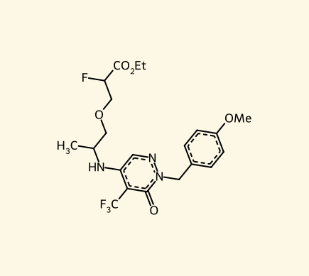 CCOC(=O)C(F)COCC(C)Nc1cnn(Cc2ccc(OC)cc2)c(=O)c1C(F)(F)F